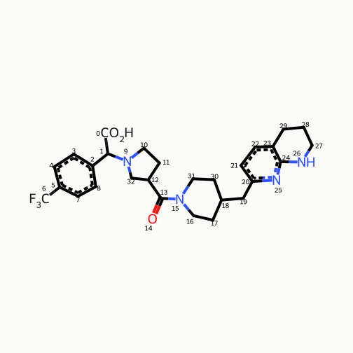 O=C(O)C(c1ccc(C(F)(F)F)cc1)N1CCC(C(=O)N2CCC(Cc3ccc4c(n3)NCCC4)CC2)C1